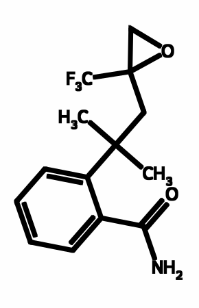 CC(C)(CC1(C(F)(F)F)CO1)c1ccccc1C(N)=O